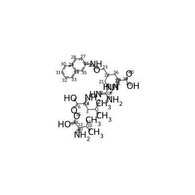 CC(C)C[C@H](N)C(=O)O.CC(C)[C@@H](N)C(=O)O.N=C(N)NCC(CONc1ccc2ccccc2c1)C[C@H](N)C(=O)O